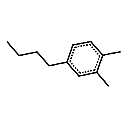 CCCCc1ccc(C)c(C)c1